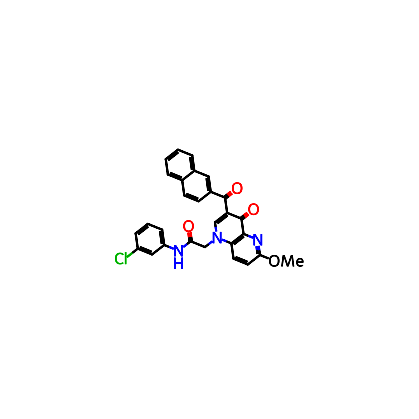 COc1ccc2c(n1)c(=O)c(C(=O)c1ccc3ccccc3c1)cn2CC(=O)Nc1cccc(Cl)c1